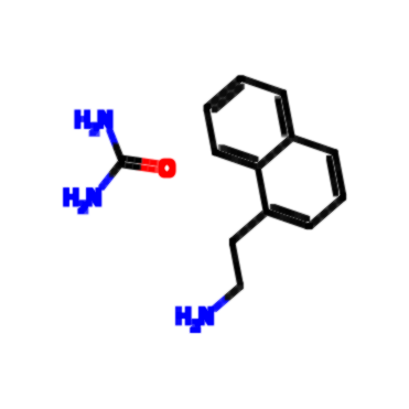 NC(N)=O.NCCc1cccc2ccccc12